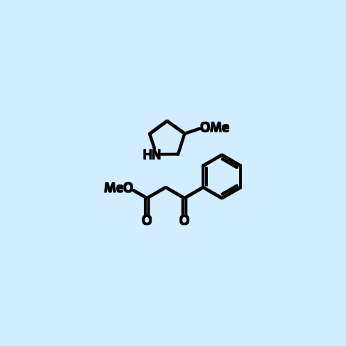 COC(=O)CC(=O)c1ccccc1.COC1CCNC1